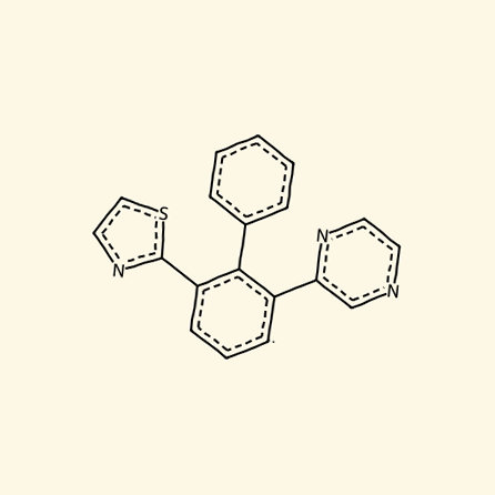 [c]1ccc(-c2nccs2)c(-c2ccccc2)c1-c1cnccn1